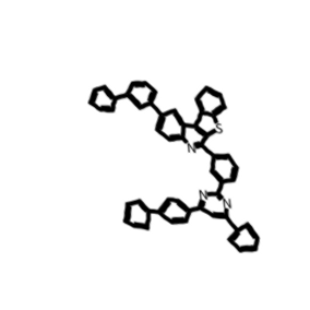 c1ccc(-c2ccc(-c3cc(-c4ccccc4)nc(-c4cccc(-c5nc6ccc(-c7cccc(-c8ccccc8)c7)cc6c6c5sc5ccccc56)c4)n3)cc2)cc1